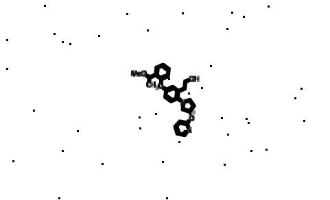 COC(C)c1ccccc1Oc1ccc(N2CC[C@H](Oc3ccccn3)C2)c(CCO)c1